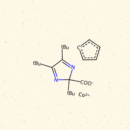 CC(C)(C)C1=NC(C(=O)[O-])(C(C)(C)C)N=C1C(C)(C)C.[Co+2].c1cc[cH-]c1